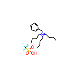 CCCC[N+](CCCC)(CCCC)Cc1ccccc1.O=S(=O)(O)C(F)(F)F